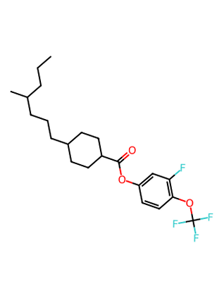 CCCC(C)CCCC1CCC(C(=O)Oc2ccc(OC(F)(F)F)c(F)c2)CC1